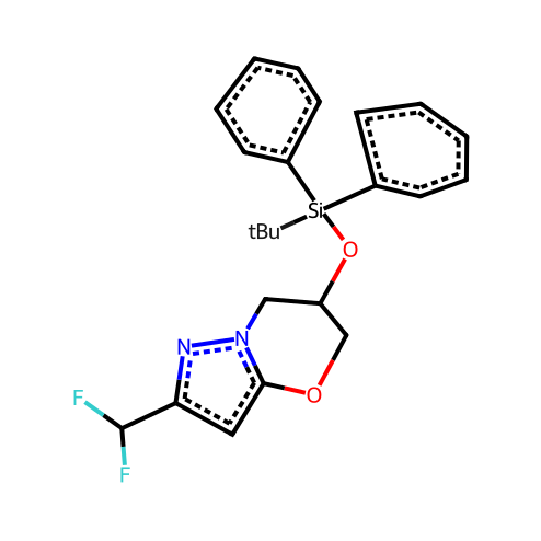 CC(C)(C)[Si](OC1COc2cc(C(F)F)nn2C1)(c1ccccc1)c1ccccc1